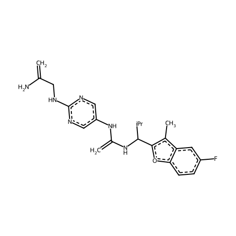 C=C(N)CNc1ncc(NC(=C)NC(c2oc3ccc(F)cc3c2C)C(C)C)cn1